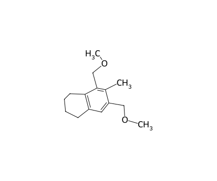 COCc1cc2c(c(COC)c1C)CCCC2